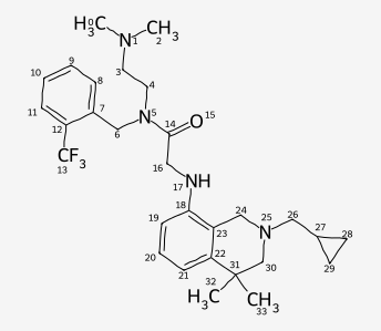 CN(C)CCN(Cc1ccccc1C(F)(F)F)C(=O)CNc1cccc2c1CN(CC1CC1)CC2(C)C